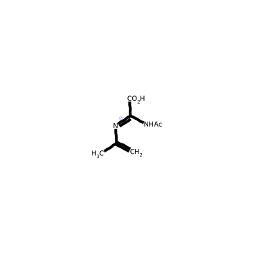 C=C(C)/N=C(\NC(C)=O)C(=O)O